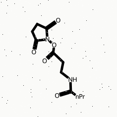 CCCC(=O)NCCC(=O)ON1C(=O)CCC1=O